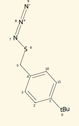 CC(C)(C)c1ccc(CSN=[N+]=[N-])cc1